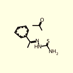 CC(=NNC(N)=S)c1ccccc1.CC(C)=O